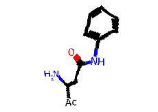 CC(=O)C(N)CC(=O)Nc1cc[c]cc1